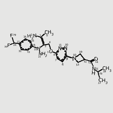 C/C(N)=C(\COc1ccc(N2CC(C(=O)NC(C)C)C2)nn1)N(N)c1ccc(C(F)F)cc1